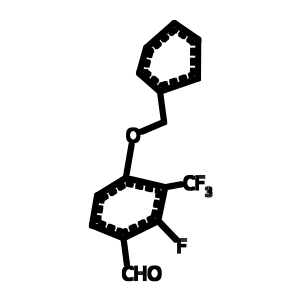 O=Cc1ccc(OCc2ccccc2)c(C(F)(F)F)c1F